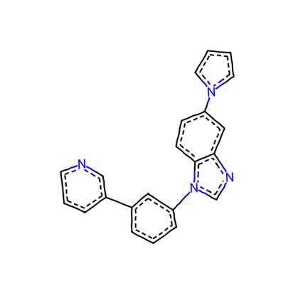 c1cncc(-c2cccc(-n3cnc4cc(-n5cccc5)ccc43)c2)c1